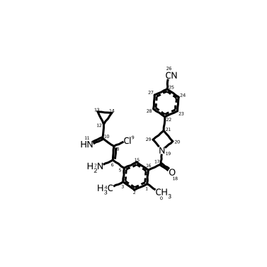 Cc1cc(C)c(/C(N)=C(\Cl)C(=N)C2CC2)cc1C(=O)N1CC(c2ccc(C#N)cc2)C1